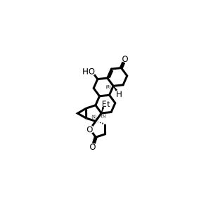 CC[C@]12CCC3C(CC(O)C4=CC(=O)CC[C@@H]43)C1C1CC1[C@@]21CCC(=O)O1